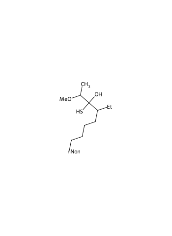 CCCCCCCCCCCCCC(CC)C(O)(S)C(C)OC